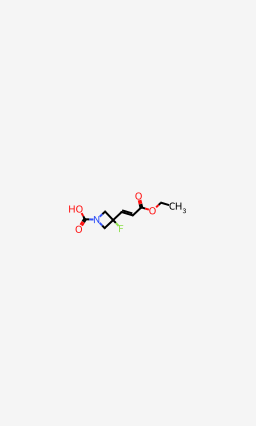 CCOC(=O)C=CC1(F)CN(C(=O)O)C1